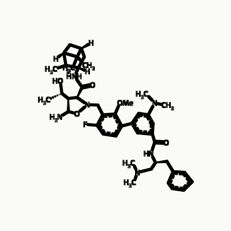 COc1c(-c2cc(C(=O)N[C@@H](Cc3ccccc3)CN(C)C)cc(N(C)C)c2)ccc(F)c1CN1OC(N)[C@@H]([C@H](C)O)[C@H]1C(=O)N[C@H]1C[C@H]2C[C@@H]([C@@H]1C)C2(C)C